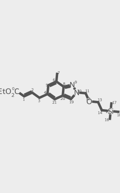 CCOC(=O)C=CCc1cc(C)c2nn(COCC[Si](C)(C)C)cc2c1